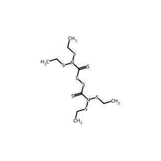 CCSN(SCC)C(=S)SSC(=S)N(SCC)SCC